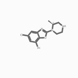 CC(=O)c1cc(Cl)cc2nc(N3CCNC[C@@H]3C)oc12